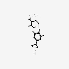 COC(=O)C1CCN(Cc2c(C)cc(C3CNC3)cc2C)CC1C